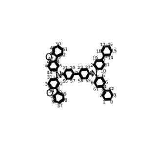 c1ccc(-c2ccc(N(c3ccc(-c4ccccc4)cc3)c3ccc(-c4ccc(N(c5ccc6oc7ccccc7c6c5)c5ccc6oc7ccccc7c6c5)cc4)cc3)cc2)cc1